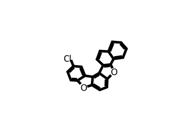 Clc1ccc2oc3ccc4oc5c6ccccc6ccc5c4c3c2c1